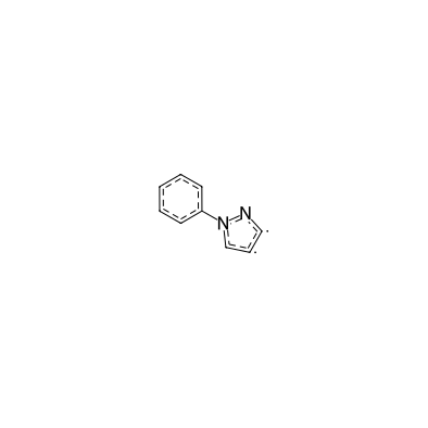 [c]1[c]nn(-c2ccccc2)c1